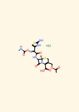 CNC(=O)ON=C(C(=O)NC1C(=O)N2C(C(=O)O)=C(COC(C)=O)CS[C@@H]12)c1csc(=N)[nH]1.Cl